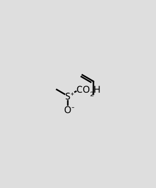 C=CC.C[S+]([O-])C(=O)O